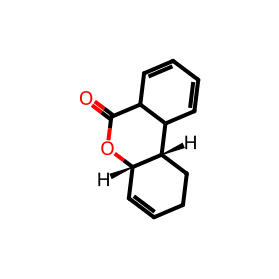 O=C1O[C@H]2C=CCC[C@H]2C2C=CC=CC12